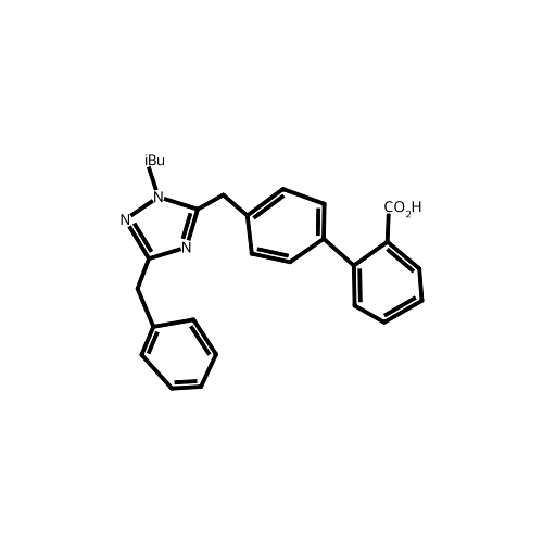 CCC(C)n1nc(Cc2ccccc2)nc1Cc1ccc(-c2ccccc2C(=O)O)cc1